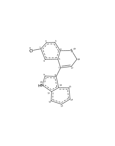 Clc1ccc2c(c1)C(c1c[nH]c3ccccc13)=CCS2